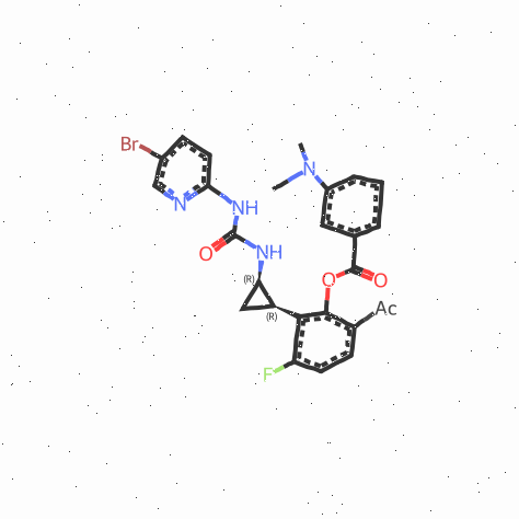 CC(=O)c1ccc(F)c([C@H]2C[C@H]2NC(=O)Nc2ccc(Br)cn2)c1OC(=O)c1cccc(N(C)C)c1